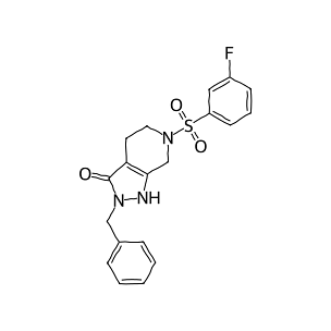 O=c1c2c([nH]n1Cc1ccccc1)CN(S(=O)(=O)c1cccc(F)c1)CC2